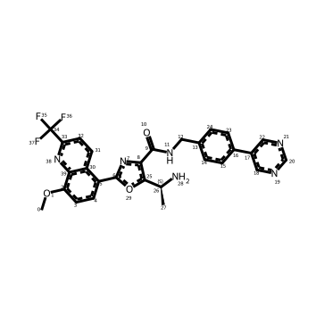 COc1ccc(-c2nc(C(=O)NCc3ccc(-c4cncnc4)cc3)c([C@H](C)N)o2)c2ccc(C(F)(F)F)nc12